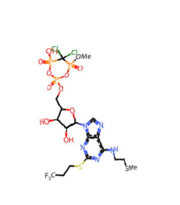 COP1(=O)OP(=O)(OCC2OC(n3cnc4c(NCCSC)nc(SCCC(F)(F)F)nc43)[C@@H](O)[C@H]2O)OP(=O)(O)C1(Cl)Cl